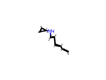 C=C/C=C/CCNC1CC1